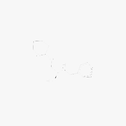 C[C@@H](COC1CCCCO1)NCc1ccccc1